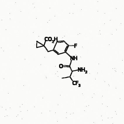 CC(C(N)C(=O)Nc1cc(CC2(C(=O)O)CC2)ccc1F)C(F)(F)F